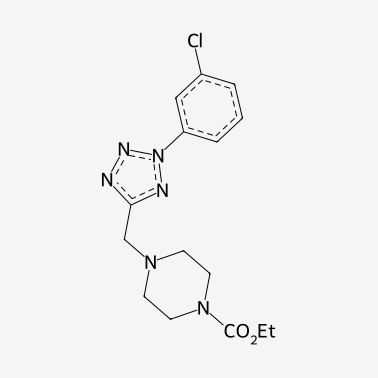 CCOC(=O)N1CCN(Cc2nnn(-c3cccc(Cl)c3)n2)CC1